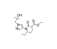 CCOC(=O)C1CCC(CC)N(c2cnn(CC(C)(C)O)c2)C1=O